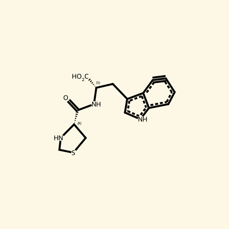 O=C(O)[C@H](Cc1c[nH]c2ccc#cc12)NC(=O)[C@@H]1CSCN1